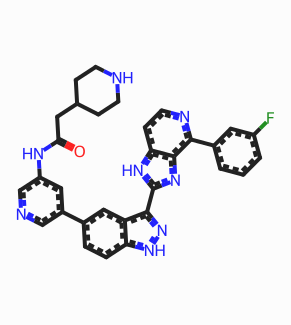 O=C(CC1CCNCC1)Nc1cncc(-c2ccc3[nH]nc(-c4nc5c(-c6cccc(F)c6)nccc5[nH]4)c3c2)c1